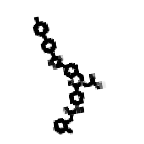 Cc1ccc(-c2ccc(-c3nc(-c4ccc(CN(CC(=O)O)C(=O)c5ccc(NC(=O)Cc6ccccc6C)cc5)cc4)no3)cc2)cc1